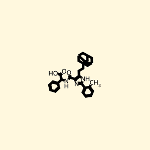 Cc1ccccc1-c1nc(C(=O)NC(C(=O)O)c2ccccc2)c(CCC23CC4CC(CC(C4)C2)C3)[nH]1